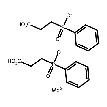 O=C(O)CCP(=O)([O-])c1ccccc1.O=C(O)CCP(=O)([O-])c1ccccc1.[Mg+2]